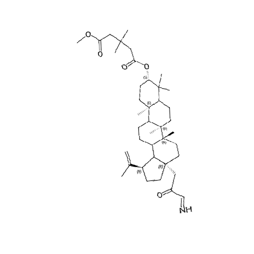 C=C(C)[C@@H]1CC[C@]2(CC(=O)C=N)CC[C@]3(C)C(CCC4[C@@]5(C)CC[C@H](OC(=O)CC(C)(C)CC(=O)OC)C(C)(C)C5CC[C@]43C)C12